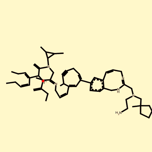 C=C(CC)NC(C(=C)N(C/C(=N/C\C=C/C1=C/C(c2ccc3c(c2)/C=C\C/N=C(/CN(CCN)CC2(C)CCCC2)NC3)=C\CC#CC1C)NC)C1C(C)C1C)C(/C=C\CC)=C/CC